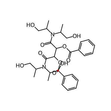 CC(CO)N(C(=O)C(OC(=O)c1ccccc1)C(OC(=O)c1ccccc1)C(=O)N(C(C)CO)C(C)CO)C(C)CO